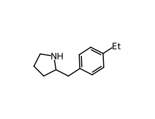 CCc1ccc(CC2CCCN2)cc1